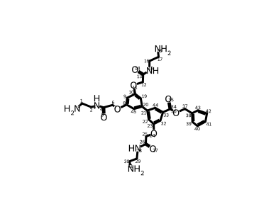 NCCNC(=O)COc1cc(OCC(=O)NCCN)cc(-c2cc(OCC(=O)NCCN)cc(C(=O)OCc3ccccc3)c2)c1